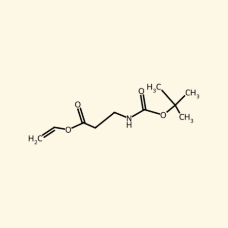 C=COC(=O)CCNC(=O)OC(C)(C)C